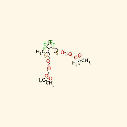 C=C(C)C(=O)OCCOCCOCc1cc(C2=C(c3cc(COCCOCCOC(=O)C(=C)C)sc3C)C(F)(F)C(F)(F)C2(F)F)cs1